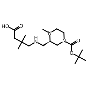 CN1CCN(C(=O)OC(C)(C)C)C[C@H]1CNCC(C)(C)CC(=O)O